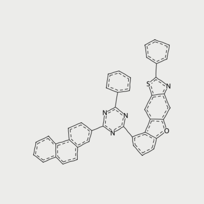 c1ccc(-c2nc(-c3ccc4c(ccc5ccccc54)c3)nc(-c3cccc4oc5cc6nc(-c7ccccc7)sc6cc5c34)n2)cc1